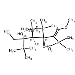 CON=C([C@](O)([C@@](O)([C@](O)(CO)[Si](C)(C)C)[Si](C)(C)C)[Si](C)(C)C)[Si](C)(C)C